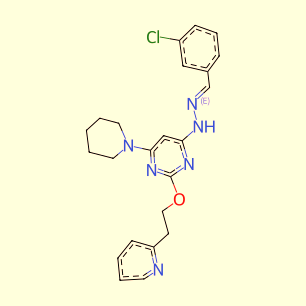 Clc1cccc(/C=N/Nc2cc(N3CCCCC3)nc(OCCc3ccccn3)n2)c1